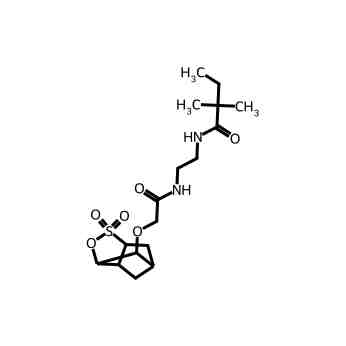 CCC(C)(C)C(=O)NCCNC(=O)COC1C2CC3C1OS(=O)(=O)C3C2